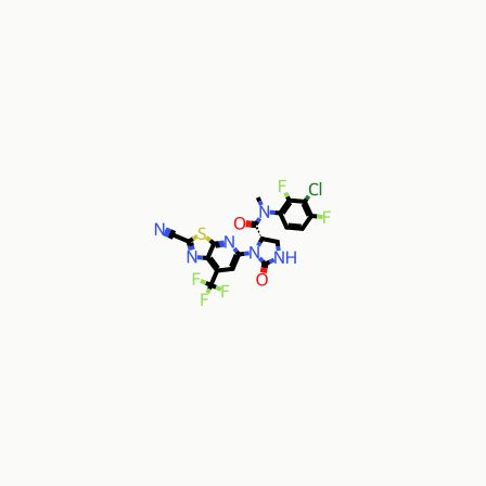 CN(C(=O)[C@@H]1CNC(=O)N1c1cc(C(F)(F)F)c2nc(C#N)sc2n1)c1ccc(F)c(Cl)c1F